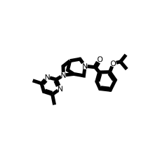 Cc1cc(C)nc(N2CC3CC2CN(C(=O)c2ccccc2OC(C)C)C3)n1